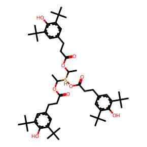 CC(OC(=O)CCc1cc(C(C)(C)C)c(O)c(C(C)(C)C)c1)[SH](OC(=O)CCc1cc(C(C)(C)C)c(O)c(C(C)(C)C)c1)C(C)OC(=O)CCc1cc(C(C)(C)C)c(O)c(C(C)(C)C)c1